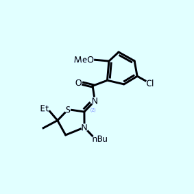 CCCCN1CC(C)(CC)S/C1=N\C(=O)c1cc(Cl)ccc1OC